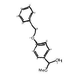 COC(O)c1ccc(OCc2ccccc2)cc1